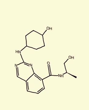 C[C@H](CO)NC(=O)c1cccc2cnc(NC3CCC(O)CC3)nc12